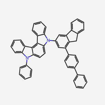 c1ccc(-c2ccc(-c3cc(-n4c5ccccc5c5c6c7ccccc7n(-c7ccccc7)c6ccc54)cc4c3Cc3ccccc3-4)cc2)cc1